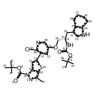 Cc1nn(C(=O)OC(C)(C)C)c2cc(-c3cc(OC[C@H](Cc4c[nH]c5ccccc45)NC(=O)OC(C)(C)C)cnc3Cl)sc12